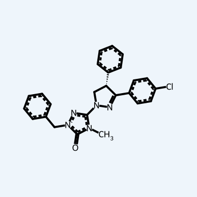 Cn1c(N2C[C@H](c3ccccc3)C(c3ccc(Cl)cc3)=N2)nn(Cc2ccccc2)c1=O